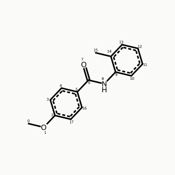 COc1ccc(C(=O)Nc2ccccc2C)cc1